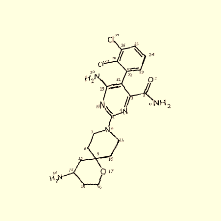 NC(=O)c1nc(N2CCC3(CC2)CC(N)CCO3)nc(N)c1-c1cccc(Cl)c1Cl